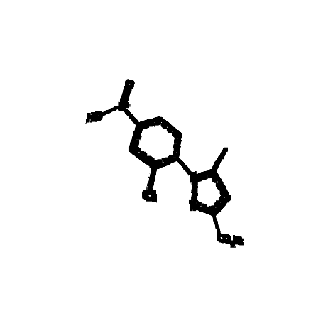 CCOC(=O)c1cc(C)n(-c2ccc([N+](=O)O)cc2Cl)n1